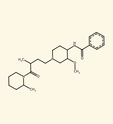 COC1CN(CCC(C)C(=O)N2CCCCC2C)CCC1NC(=O)c1ccccc1